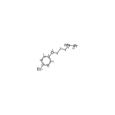 CCc1ccc(OCCCNC(C)C)cc1